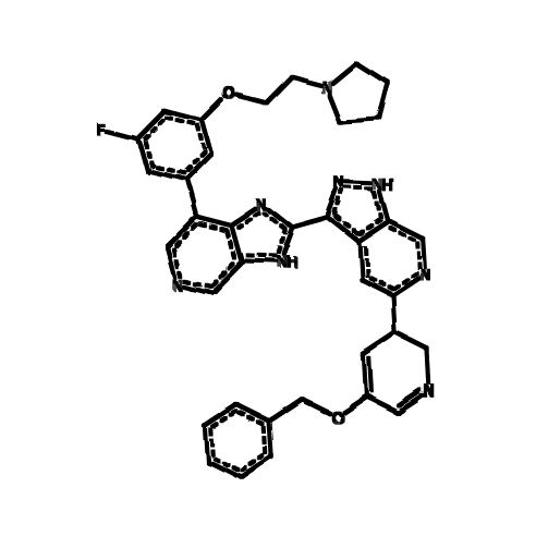 Fc1cc(OCCN2CCCC2)cc(-c2cncc3[nH]c(-c4n[nH]c5cnc(C6C=C(OCc7ccccc7)C=NC6)cc45)nc23)c1